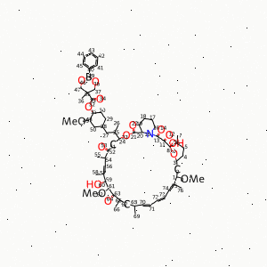 COC1CC2CCC(C)C(O)(O2)C(=O)C(=O)N2CCCCC2C(=O)OC(C(C)CC2CCC(OC(=O)C3(C)COB(c4ccccc4)OC3)C(OC)C2)CC(=O)C(C)/C=C(\C)C(O)C(OC)C(=O)C(C)CC(C)/C=C/C=C/C=C/1C